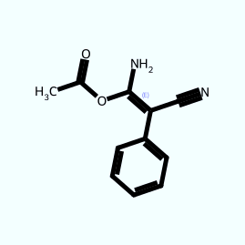 CC(=O)O/C(N)=C(/C#N)c1ccccc1